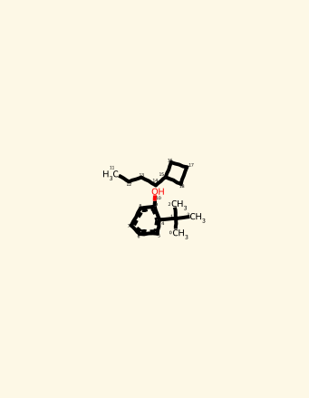 CC(C)(C)c1ccccc1O.CCCCC1CCC1